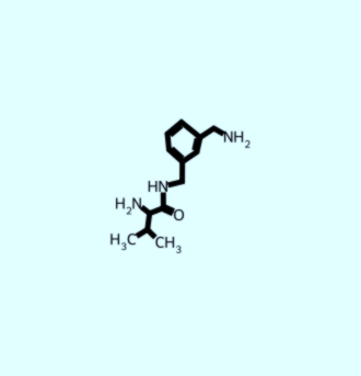 CC(C)C(N)C(=O)NCc1cccc(CN)c1